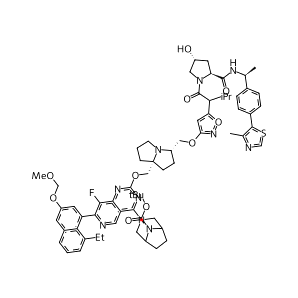 CCc1cccc2cc(OCOC)cc(-c3ncc4c(N5CC6CCC(C5)N6C(=O)OC(C)(C)C)nc(OC[C@]56CCCN5[C@H](COc5cc(C(C(=O)N7C[C@H](O)C[C@H]7C(=O)N[C@@H](C)c7ccc(-c8scnc8C)cc7)C(C)C)on5)CC6)nc4c3F)c12